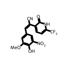 COc1cc(C=C(C#N)c2ccc(C(F)(F)F)[nH]c2=O)cc([N+](=O)[O-])c1O